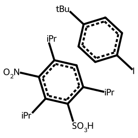 CC(C)(C)c1ccc(I)cc1.CC(C)c1cc(C(C)C)c(S(=O)(=O)O)c(C(C)C)c1[N+](=O)[O-]